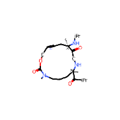 CC(C)N[C@]1(C)C/C=C/COC(=O)N(C)CCC[C@@](C)(C(=O)C(C)C)NCC1=O